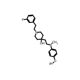 CC(C)Oc1ccc(N(C)CCC2(O)CCN(CCc3cccc(F)c3)CC2)cc1